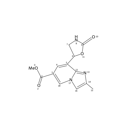 COC(=O)c1cc(C2CNC(=O)O2)c2nc(C)cn2c1